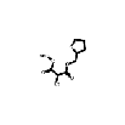 CCCCOC(=O)C(CC)C(=O)OCC1CCCO1